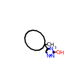 CC1(c2cnnc(O)n2)CCCCCCCCCCCCCC1